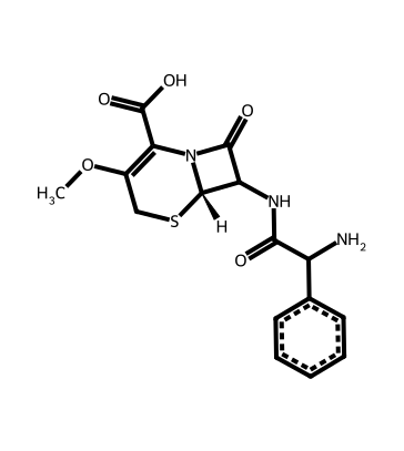 COC1=C(C(=O)O)N2C(=O)C(NC(=O)C(N)c3ccccc3)[C@@H]2SC1